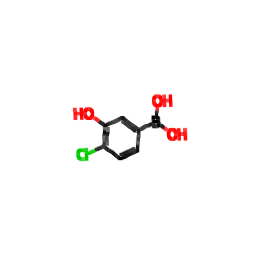 OB(O)c1ccc(Cl)c(O)c1